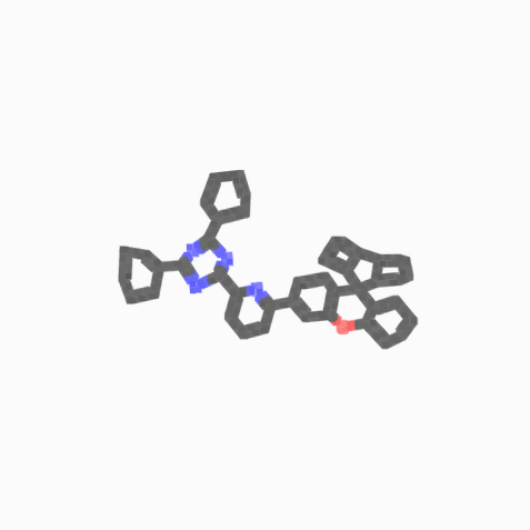 c1ccc(-c2nc(-c3ccccc3)nc(-c3cccc(-c4ccc5c(c4)Oc4ccccc4C54c5ccccc5-c5ccccc54)n3)n2)cc1